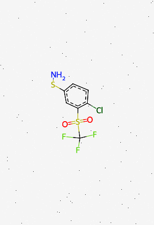 NSc1ccc(Cl)c(S(=O)(=O)C(F)(F)F)c1